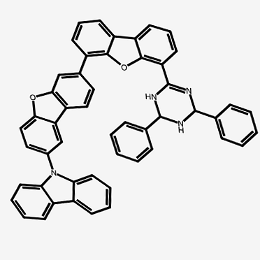 c1ccc(C2N=C(c3cccc4c3oc3c(-c5ccc6c(c5)oc5ccc(-n7c8ccccc8c8ccccc87)cc56)cccc34)NC(c3ccccc3)N2)cc1